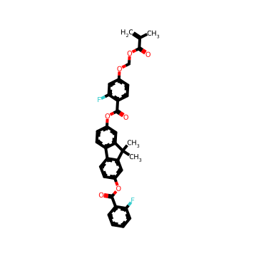 C=C(C)C(=O)OCOc1ccc(C(=O)Oc2ccc3c(c2)C(C)(C)c2cc(OC(=O)c4ccccc4F)ccc2-3)c(F)c1